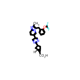 Cc1nc2ccc(-c3cnc(C4CC5C(C(=O)O)[C@@H]5C4)nc3)cn2c1Cc1ccccc1OC(F)F